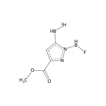 [2H]Bc1cc(C(=O)OC)nn1BF